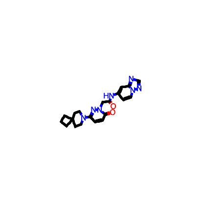 O=C(Cn1nc(N2CCC3(CCC3)CC2)ccc1=O)Nc1ccn2ncnc2c1